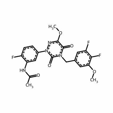 COc1cc(Cn2c(=O)c(OC)nn(-c3ccc(F)c(NC(C)=O)c3)c2=O)cc(F)c1F